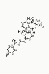 BC1(B)CN2c3c(cccc3[C@]3(C)CN(CCCC(=O)c4ccc(F)cc4)CC[C@H]23)N1C